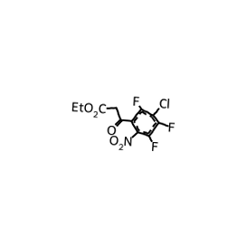 CCOC(=O)CC(=O)c1c(F)c(Cl)c(F)c(F)c1[N+](=O)[O-]